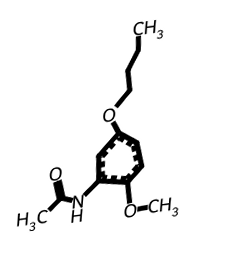 CCCCOc1ccc(OC)c(NC(C)=O)c1